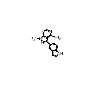 Cn1nc(-c2ccc3[nH]ccc3c2)c2c(N)ncnc21